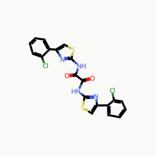 O=C(Nc1nc(-c2ccccc2Cl)cs1)C(=O)Nc1nc(-c2ccccc2Cl)cs1